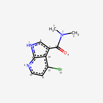 CN(C)C(=O)c1c[nH]c2nccc(Br)c12